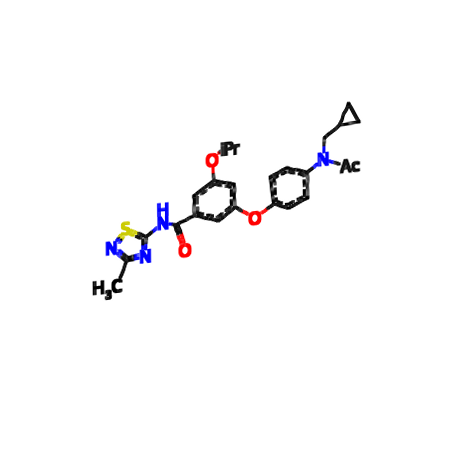 CC(=O)N(CC1CC1)c1ccc(Oc2cc(OC(C)C)cc(C(=O)Nc3nc(C)ns3)c2)cc1